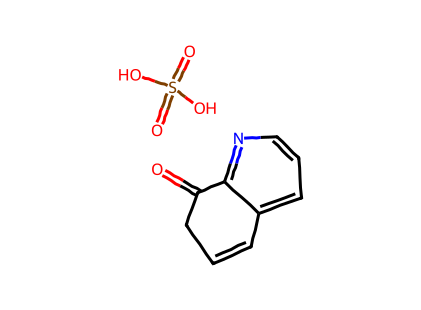 O=C1CC=Cc2cccnc21.O=S(=O)(O)O